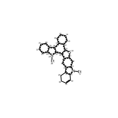 CCn1c2c(c3cc4c(cc31)sc1c3ccccc3c3c5ccccc5n(CC)c3c41)CCC=C2